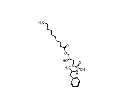 CCCCCCCCCC(=O)OCC(O)COP(=O)(O)NC(C)Cc1ccccc1